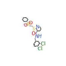 O=C(NCc1ccc(Cl)c(Cl)c1)c1cccnc1SCCS(=O)(=O)c1ccccc1